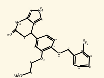 COCCOc1cc(C2CC(=O)Nc3n[nH]cc32)ccc1OCc1ccccc1C(F)(F)F